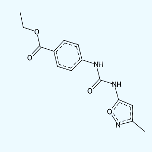 CCOC(=O)c1ccc(NC(=O)Nc2cc(C)no2)cc1